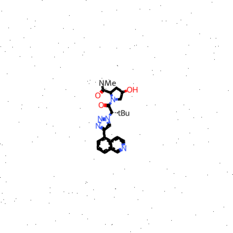 CNC(=O)C1CC(O)CN1C(=O)[C@@H](n1cc(-c2cccc3cnccc23)nn1)C(C)(C)C